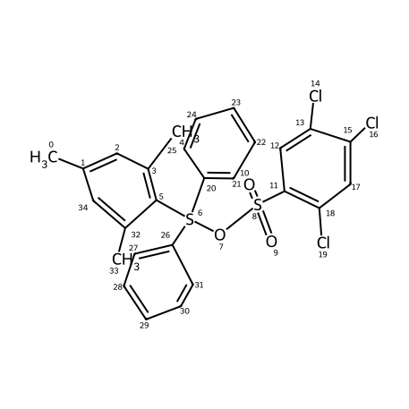 Cc1cc(C)c(S(OS(=O)(=O)c2cc(Cl)c(Cl)cc2Cl)(c2ccccc2)c2ccccc2)c(C)c1